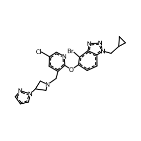 Clc1cnc(Oc2ccc3c(nnn3CC3CC3)c2Br)c(CN2CC(n3cccn3)C2)c1